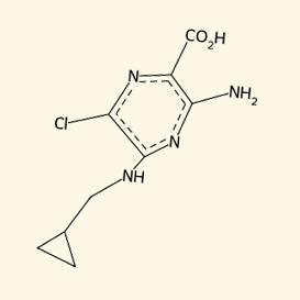 Nc1nc(NCC2CC2)c(Cl)nc1C(=O)O